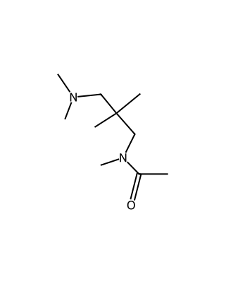 CC(=O)N(C)CC(C)(C)CN(C)C